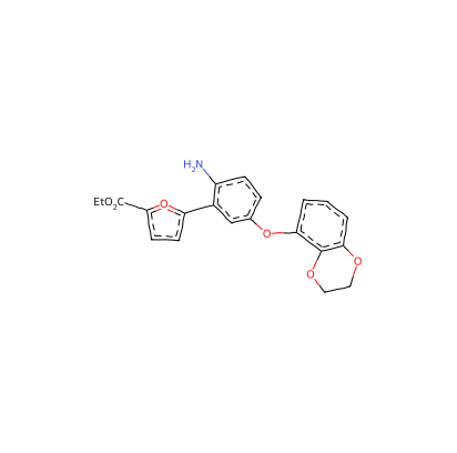 CCOC(=O)c1ccc(-c2cc(Oc3cccc4c3OCCO4)ccc2N)o1